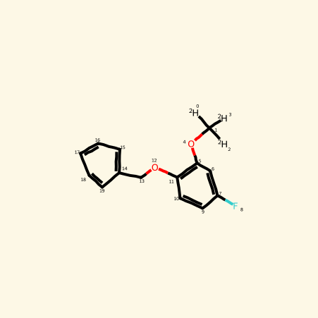 [2H]C([2H])([2H])Oc1cc(F)ccc1OCc1ccccc1